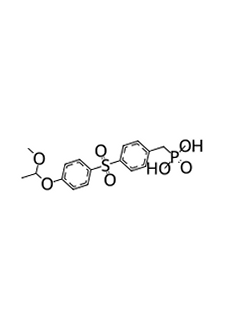 COC(C)Oc1ccc(S(=O)(=O)c2ccc(CP(=O)(O)O)cc2)cc1